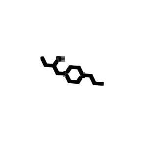 CCCN1CCN(CC(O)CC)CC1